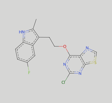 Cc1[nH]c2ccc(F)cc2c1CCOc1nc(Cl)nc2scnc12